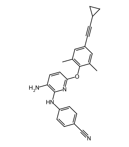 Cc1cc(C#CC2CC2)cc(C)c1Oc1ccc(N)c(Nc2ccc(C#N)cc2)n1